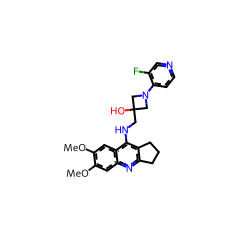 COc1cc2nc3c(c(NCC4(O)CN(c5ccncc5F)C4)c2cc1OC)CCC3